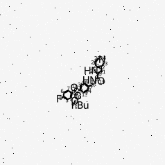 CCCCOc1cc(F)ccc1S(=O)(=O)c1ccc(CNC(=O)c2cc3cnccc3[nH]2)cc1